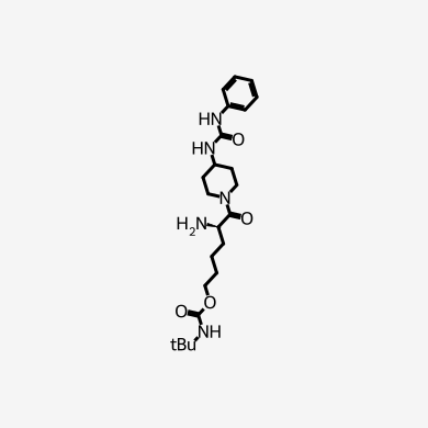 CC(C)(C)NC(=O)OCCCC[C@@H](N)C(=O)N1CCC(NC(=O)Nc2ccccc2)CC1